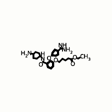 CCOC(=O)CCCCOc1cccc(C(=O)NC2CCC(N)CC2)c1Oc1ccc(C(=N)N)cc1